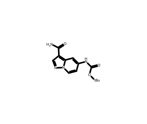 CC(C)(C)OC(=O)Nc1ccn2ncc(C(N)=O)c2c1